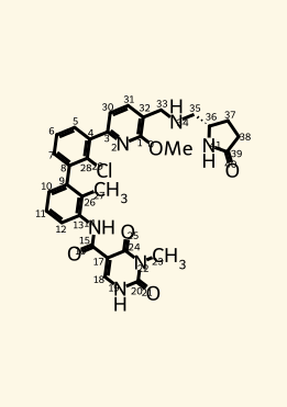 COc1nc(-c2cccc(-c3cccc(NC(=O)c4c[nH]c(=O)n(C)c4=O)c3C)c2Cl)ccc1CNC[C@@H]1CCC(=O)N1